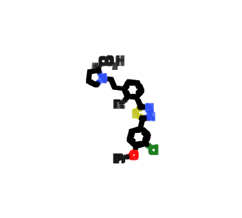 CCc1c(CCN2CCC[C@@H]2C(=O)O)cccc1-c1nnc(-c2ccc(OC(C)C)c(Cl)c2)s1